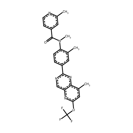 Cc1cc(C(=O)N(C)c2ccc(-c3ncc4nc(OC(F)(F)F)cc(C)c4n3)cc2C)ccn1